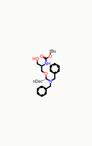 CCCCCCCCCC[C@H](OCC(CO)NC(=O)OC(C)(C)C)N(Cc1ccccc1)Cc1ccccc1